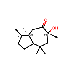 C[C@@H]1CCC2C(C)(C)C[C@@](C)(O)C(=O)C[C@@]21C